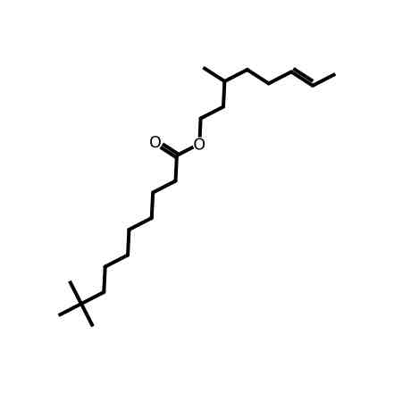 C/C=C/CCC(C)CCOC(=O)CCCCCCCC(C)(C)C